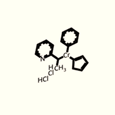 C[CH](c1ccccn1)[Cr]([C]1=CC=CC1)[c]1ccccc1.Cl.Cl